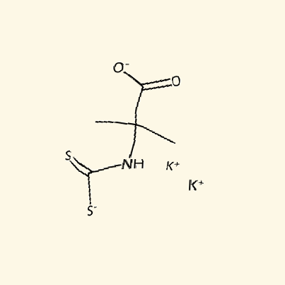 CC(C)(NC(=S)[S-])C(=O)[O-].[K+].[K+]